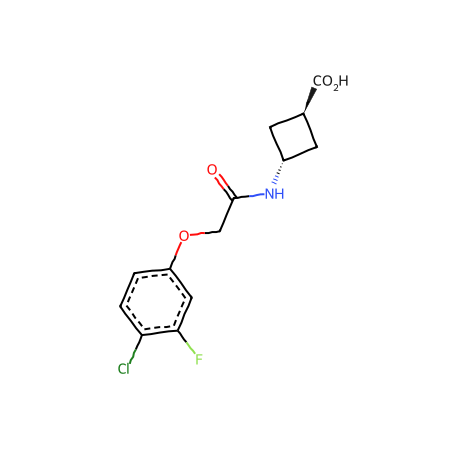 O=C(COc1ccc(Cl)c(F)c1)N[C@H]1C[C@H](C(=O)O)C1